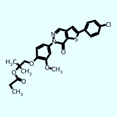 CCC(=O)OC(C)(C)COc1ccc(-n2ncc3cc(-c4ccc(Cl)cc4)sc3c2=O)cc1OC